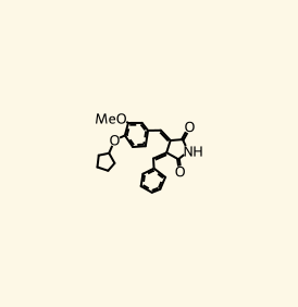 COc1cc(C=C2C(=O)NC(=O)C2=Cc2ccccc2)ccc1OC1CCCC1